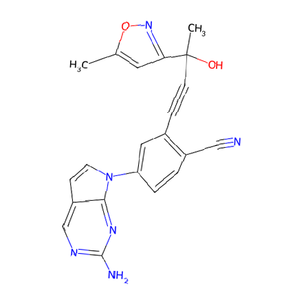 Cc1cc(C(C)(O)C#Cc2cc(-n3ccc4cnc(N)nc43)ccc2C#N)no1